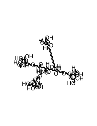 CC(=O)NC1C(OCCOCCNC(=O)C(CCC(=O)NC(CCC(=O)NCCOCCOC2OC(CO)C(O)C(O)C2NC(C)=O)C(=O)NCCOCCOC2OC(CO)C(O)C(O)C2NC(C)=O)NC(=O)CCCCCCCCCNC(=O)C2CC(OC(C)C)C(CO)O2)OCC(CO)C(O)C1O